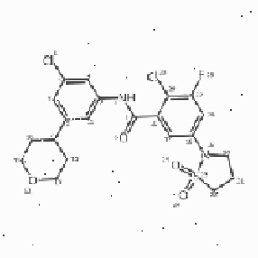 O=C(Nc1cc(Cl)cc(C2CCOCC2)c1)c1cc(N2CCCS2(=O)=O)cc(F)c1Cl